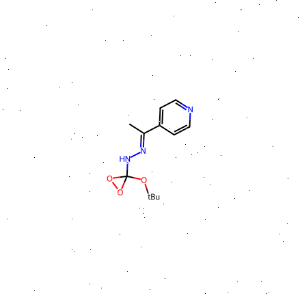 CC(=NNC1(OC(C)(C)C)OO1)c1ccncc1